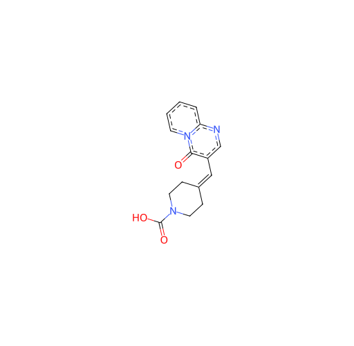 O=C(O)N1CCC(=Cc2cnc3ccccn3c2=O)CC1